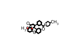 CC1CCN(C(=O)c2cccc(-c3cc(=O)n(C)nc3-c3ccccc3Oc3ccccc3)c2)CC1